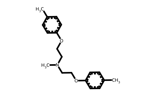 Cc1ccc(OCCN(C)CCOc2ccc(C)cc2)cc1